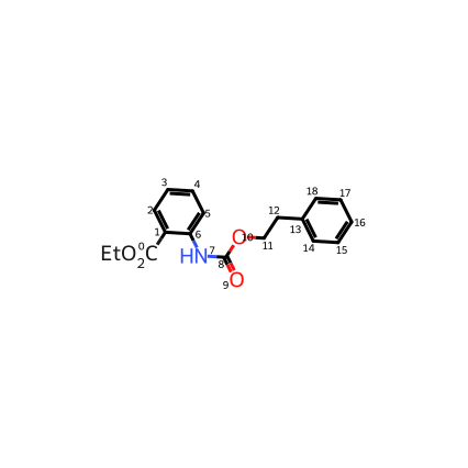 CCOC(=O)c1ccccc1NC(=O)OCCc1ccccc1